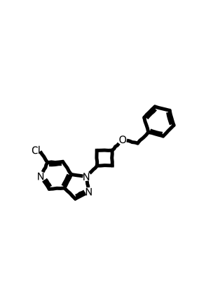 Clc1cc2c(cn1)cnn2C1CC(OCc2ccccc2)C1